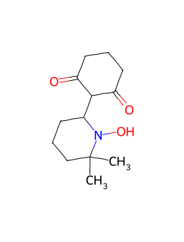 CC1(C)CCCC(C2C(=O)CCCC2=O)N1O